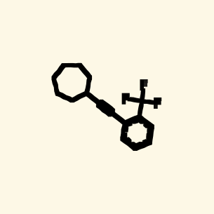 FC(F)(F)c1ccccc1C#CC1CCCCCC1